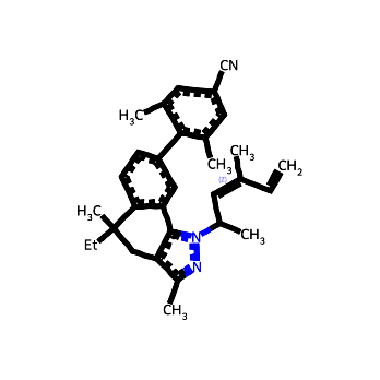 C=C/C(C)=C\C(C)n1nc(C)c2c1-c1cc(-c3c(C)cc(C#N)cc3C)ccc1C(C)(CC)C2